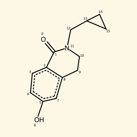 O=C1c2ccc(O)cc2CCN1CC1CC1